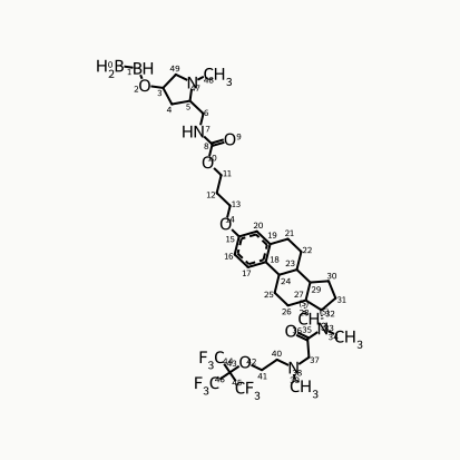 BBOC1CC(CNC(=O)OCCCOc2ccc3c(c2)CCC2C3CC[C@@]3(C)C2CC[C@@H]3N(C)C(=O)CN(C)CCOC(C(F)(F)F)(C(F)(F)F)C(F)(F)F)N(C)C1